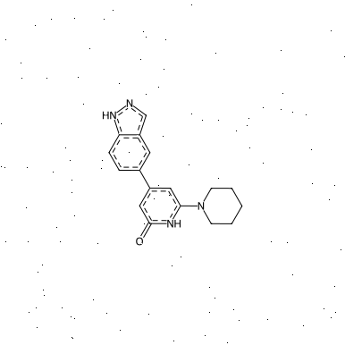 O=c1cc(-c2ccc3[nH]ncc3c2)cc(N2CCCCC2)[nH]1